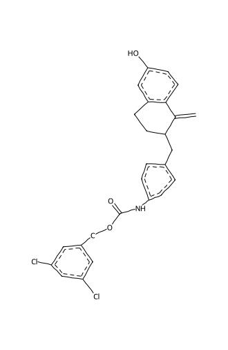 C=C1c2ccc(O)cc2CCC1Cc1ccc(NC(=O)OCc2cc(Cl)cc(Cl)c2)cc1